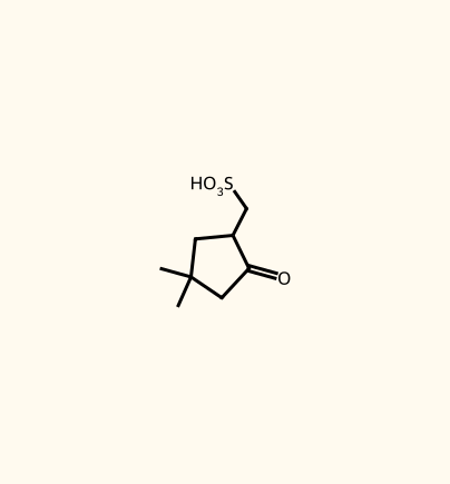 CC1(C)CC(=O)C(CS(=O)(=O)O)C1